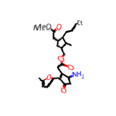 CC/C=C/CC1C(CC(=O)OC)CC(COC(=O)CC2C(N)CC(=O)C2c2ccc(C)o2)C1C